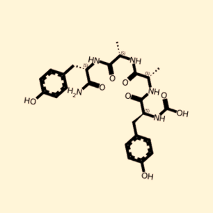 C[C@H](NC(=O)[C@H](C)NC(=O)[C@H](Cc1ccc(O)cc1)NC(=O)O)C(=O)N[C@@H](Cc1ccc(O)cc1)C(N)=O